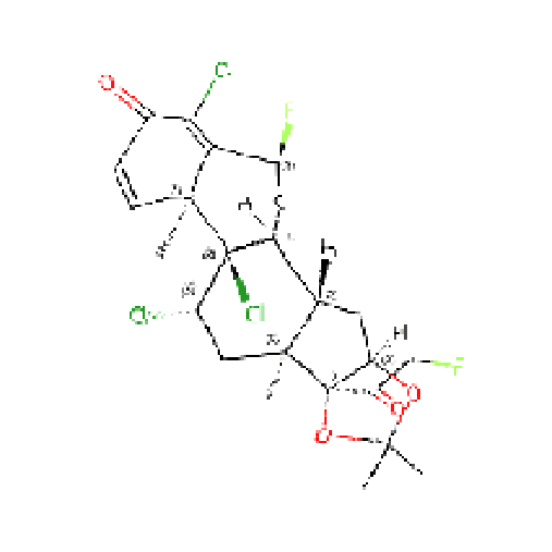 CC1(C)O[C@@H]2C[C@H]3[C@@H]4C[C@H](F)C5=C(Cl)C(=O)C=C[C@]5(C)[C@@]4(Cl)[C@@H](Cl)C[C@]3(C)[C@]2(C(=O)CF)O1